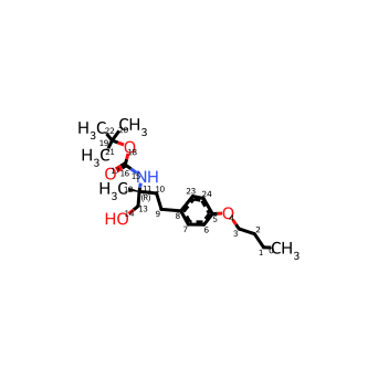 CCCCOc1ccc(CC[C@](C)(CO)NC(=O)OC(C)(C)C)cc1